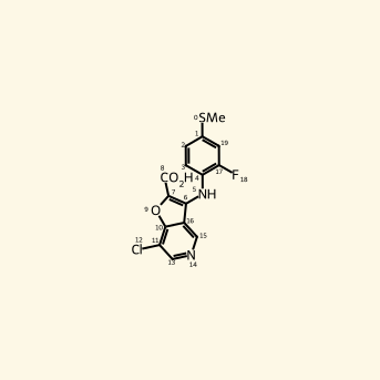 CSc1ccc(Nc2c(C(=O)O)oc3c(Cl)cncc23)c(F)c1